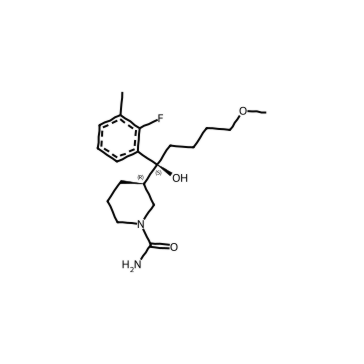 COCCCC[C@@](O)(c1cccc(C)c1F)[C@@H]1CCCN(C(N)=O)C1